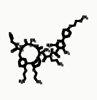 COCCOc1ccc(-c2nc(C)c(C(=O)N[C@@H](CCN)C(=O)N(C)[C@@H]3C(=O)N[C@@H](C)C(=O)N[C@H](C(=O)NCC#N)Cc4ccc(OCCN)c(c4)-c4cc3ccc4OCCN)c(C)n2)cc1